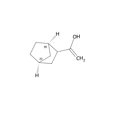 C=C(O)C1C[C@H]2CC[C@@H]1C2